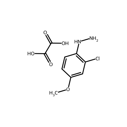 COc1ccc(NN)c(Cl)c1.O=C(O)C(=O)O